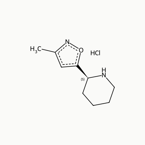 Cc1cc([C@@H]2CCCCN2)on1.Cl